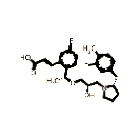 Cc1ccc(C[C@@H]2CCCN2C[C@@H](O)CO[C@H](C)c2ccc(F)cc2C=CC(=O)O)cc1F